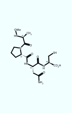 CON[C@@H](C)C(=O)N1CCC[C@H]1C(=O)N[C@@H](CC(N)=O)C(=O)N[C@@H](CS)C(=O)O